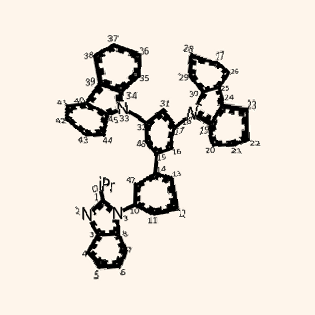 CC(C)c1nc2ccccc2n1-c1cccc(-c2cc(-n3c4ccccc4c4ccccc43)cc(-n3c4ccccc4c4ccccc43)c2)c1